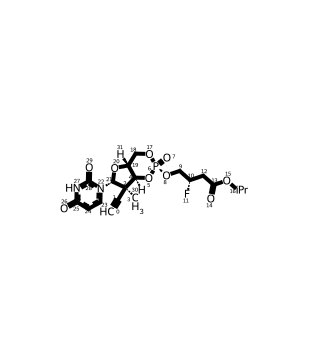 C#C[C@]1(C)[C@@H]2O[P@@](=O)(OC[C@@H](F)CC(=O)OC(C)C)OC[C@H]2O[C@H]1n1ccc(=O)[nH]c1=O